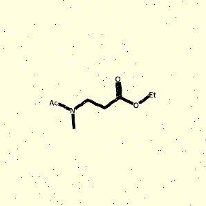 CCOC(=O)CCN(C)C(C)=O